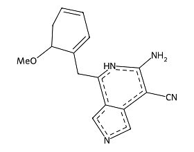 COC1CC=CC=C1Cc1[nH]c(N)c(C#N)c2cncc1-2